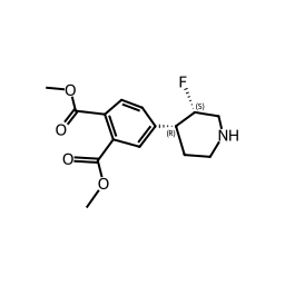 COC(=O)c1ccc([C@H]2CCNC[C@H]2F)cc1C(=O)OC